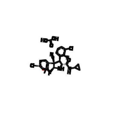 CC(C)(C)C[C@@H]1N[C@@H](C(=O)NC2CC2)[C@H](c2cccc(Cl)c2F)[C@@]1(C#N)c1ccc(Cl)cc1F.O=C(O)O